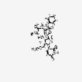 C=C=C[C@]1(F)C(n2ccc(=O)[nH]c2=O)O[C@](F)(COP(=O)(N[C@@H](C)C(=O)OC(C)C)Oc2ccccc2)[C@H]1O